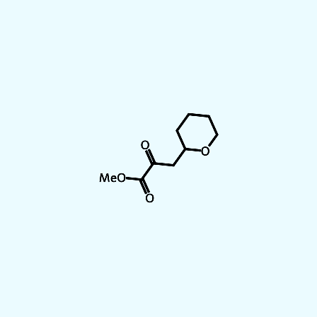 COC(=O)C(=O)CC1CCCCO1